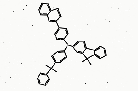 CC(C)(c1ccccc1)c1ccc(N(c2ccc(-c3ccc4ccccc4c3)cc2)c2ccc3c(c2)C(C)(C)c2ccccc2-3)cc1